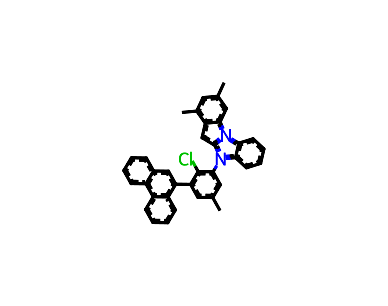 Cc1cc(-c2cc3ccccc3c3ccccc23)c(Cl)c(-n2c3ccccc3n3c4cc(C)cc(C)c4cc23)c1